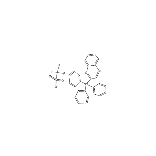 O=S(=O)([O-])C(F)(F)F.c1ccc([P+](c2ccccc2)(c2ccccc2)c2cnc3ccccc3n2)cc1